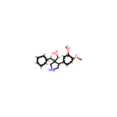 COc1ccc(C2CNCC2(CO)Cc2ccccc2)cc1OC